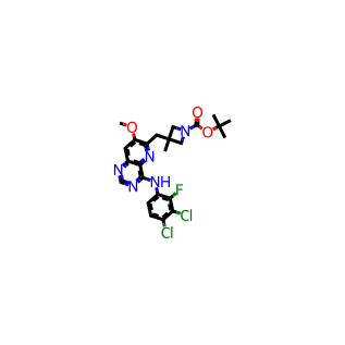 COc1cc2ncnc(Nc3ccc(Cl)c(Cl)c3F)c2nc1CC1(C)CN(C(=O)OC(C)(C)C)C1